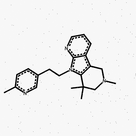 Cc1ccc(CCn2c3c(c4cccnc42)CN(C)CC3(C)C)cn1